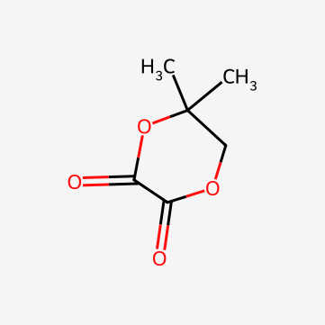 CC1(C)COC(=O)C(=O)O1